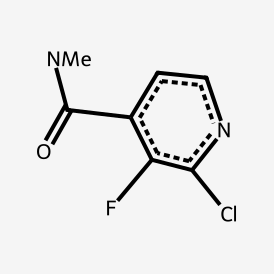 CNC(=O)c1ccnc(Cl)c1F